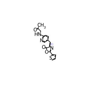 CC(=O)CNc1ccc(/C=C2/N=C(c3cccs3)OC2=O)cn1